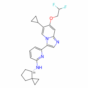 FC(F)COc1cc2ncc(-c3cccc(N[C@H]4CCCC45CC5)n3)n2cc1C1CC1